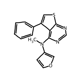 CN(c1ccoc1)c1ncnc2scc(-c3ccccc3)c12